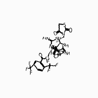 N=C1NC2[C@H](CN3C(=O)CSC3=O)NC(=N)N3C[C@H](OC(=O)c4cc(C(F)(F)F)ccc4C(F)(F)F)C(O)(O)C23N1